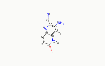 Cc1c(N)c(C#N)nc2ccc(=O)n(C)c12